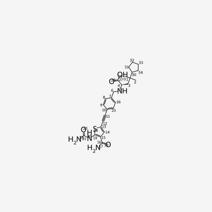 CC(C)(C[C@@H](NCc1ccc(C#Cc2cc(C(N)=O)c(NC(N)=O)s2)cc1)C(=O)O)C1CCCC1